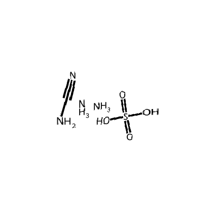 N.N.N#CN.O=S(=O)(O)O